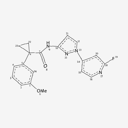 COc1cccc(C2(C(=O)Nc3ccn(-c4ccnc(F)c4)n3)CC2)c1